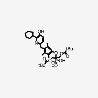 Cc1cc(OC(COC(=O)C(C)(C)C)(COC(=O)C(C)(C)C)P(=O)(O)O)c(C)c(C)c1Cc1ccc(O)c(C2CCCCC2)n1